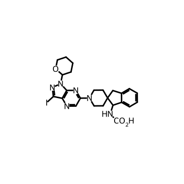 O=C(O)NC1c2ccccc2CC12CCN(c1cnc3c(I)nn(C4CCCCO4)c3n1)CC2